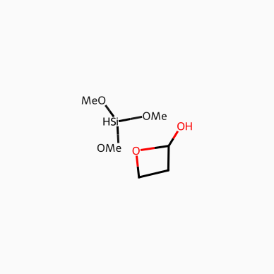 CO[SiH](OC)OC.OC1CCO1